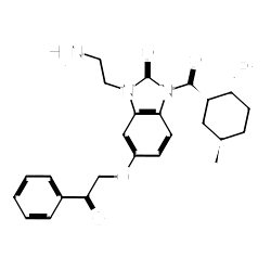 CC(C)[C@@H]1CC[C@@H](C)C[C@H]1C(=O)n1c(=O)n(CCN)c2cc(OCC(=O)c3ccccc3)ccc21